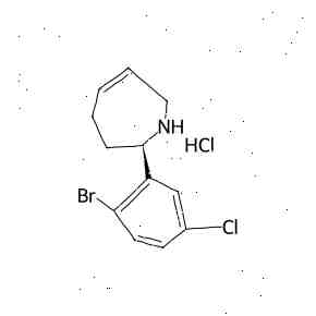 Cl.Clc1ccc(Br)c([C@H]2CCC=CCN2)c1